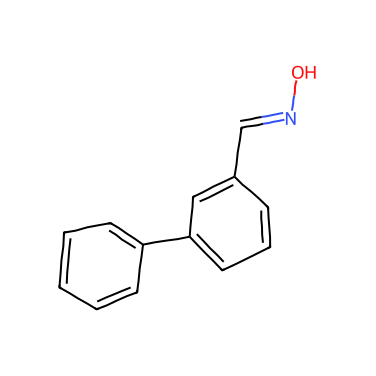 O/N=C/c1cccc(-c2ccccc2)c1